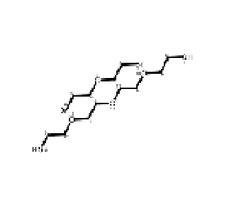 BrCCOCCBr.OCCOCCOCCOCCO